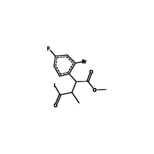 COC(=O)C(c1ccc(F)cc1Br)C(C)C(=O)I